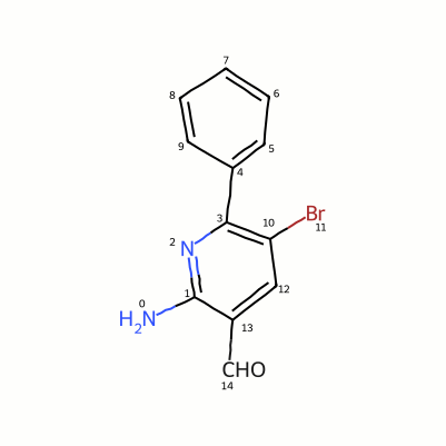 Nc1nc(-c2ccccc2)c(Br)cc1C=O